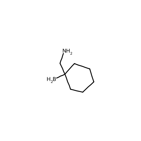 BC1(CN)CCCCC1